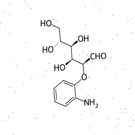 Nc1ccccc1O[C@H](C=O)[C@@H](O)[C@H](O)[C@H](O)CO